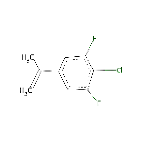 C=C(C)c1cc(F)c(Cl)c(F)c1